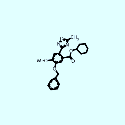 COc1cc(-c2noc(C)n2)c(C(=O)OC2CCCCC2)cc1OCc1ccccc1